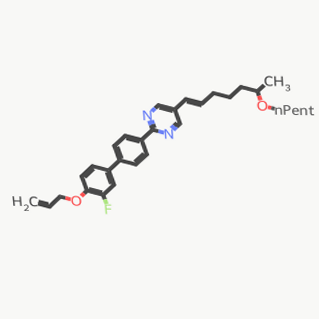 C=CCOc1ccc(-c2ccc(-c3ncc(C=CCCCC(C)OCCCCC)cn3)cc2)cc1F